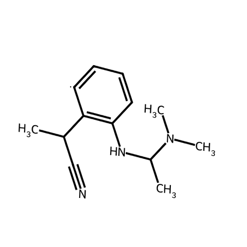 CC(C#N)c1[c]cccc1NC(C)N(C)C